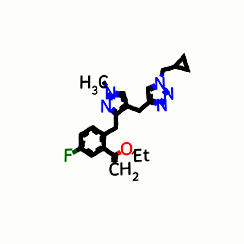 C=C(OCC)c1cc(F)ccc1Cc1nn(C)cc1Cc1cn(CC2CC2)nn1